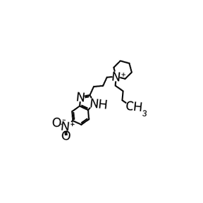 CCCC[N+]1(CCCc2nc3cc([N+](=O)[O-])ccc3[nH]2)CCCCC1